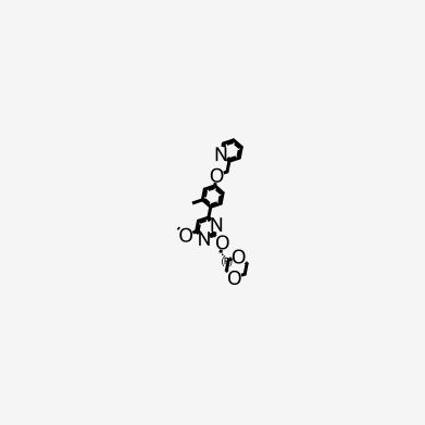 COc1cc(-c2ccc(OCc3ccccn3)cc2C)nc(OC[C@H]2COCCO2)n1